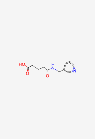 O=C(O)CCCC(=O)NCc1cccnc1